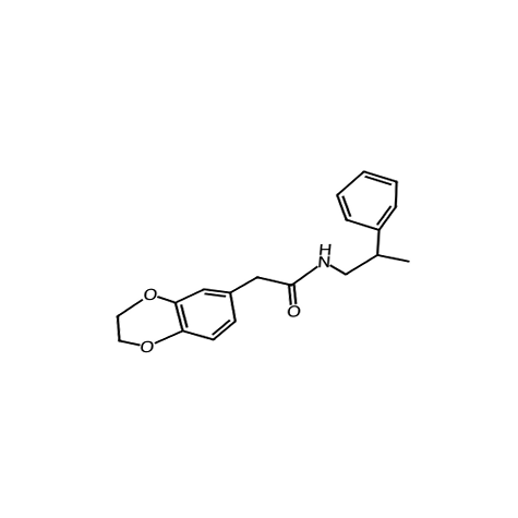 CC(CNC(=O)Cc1ccc2c(c1)OCCO2)c1ccccc1